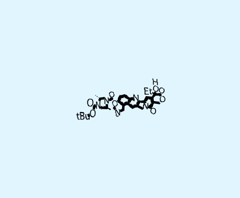 CC[C@@]1(O)C(=O)OCc2c1cc1n(c2=O)Cc2cc3c(CN(C)C)c(OC(=O)N4C[C@@H](C)N(C(=O)OC(C)(C)C)C[C@@H]4C)ccc3nc2-1